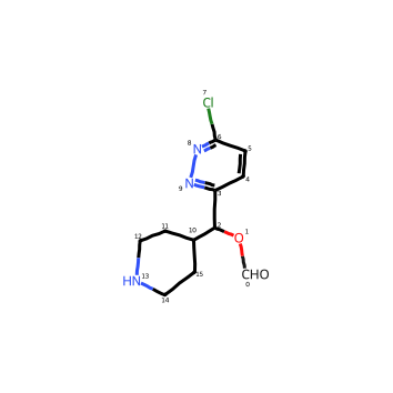 O=COC(c1ccc(Cl)nn1)C1CCNCC1